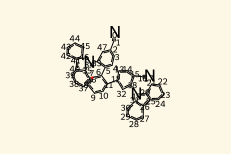 N#Cc1ccc(-c2ccccc2-c2ccc(C#N)c(-n3c4ccccc4c4ccccc43)c2)c(-n2c3ccccc3c3ccccc32)c1